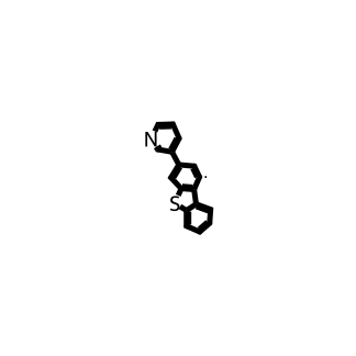 [c]1cc(-c2cccnc2)cc2sc3ccccc3c12